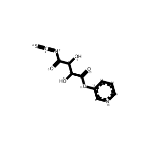 O=C(N=C=S)C(O)C(O)C(=O)Oc1cccnc1